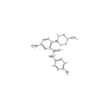 CC1CCN(c2ccc([N+](=O)[O-])cc2C(=O)Nc2ccc(Br)cc2)CC1